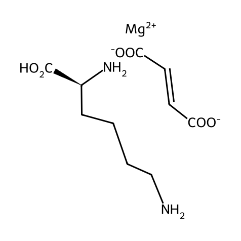 NCCCC[C@H](N)C(=O)O.O=C([O-])/C=C/C(=O)[O-].[Mg+2]